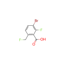 O=C(O)c1c(CF)ccc(Br)c1F